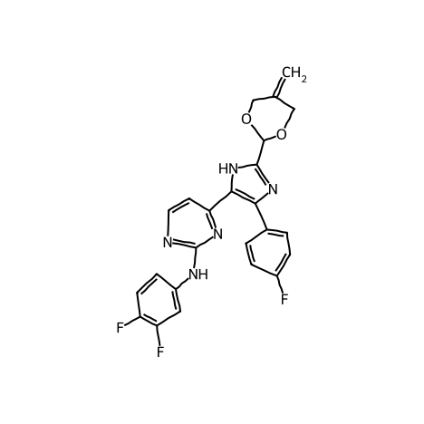 C=C1COC(c2nc(-c3ccc(F)cc3)c(-c3ccnc(Nc4ccc(F)c(F)c4)n3)[nH]2)OC1